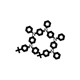 CC(C)(C)c1ccc(N(c2ccccc2)c2ccc(N(c3ccccc3)c3ccc(N(c4ccccc4)c4ccc(N(c5ccccc5)c5ccc(N(c6ccccc6)c6ccc(C(C)(C)C)cc6)cc5)cc4)cc3)cc2)cc1